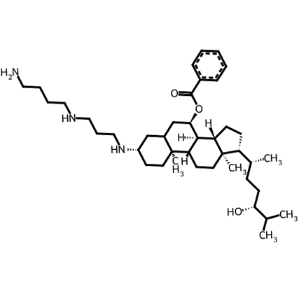 CC(C)[C@H](O)CC[C@@H](C)[C@H]1CC[C@H]2[C@@H]3[C@H](OC(=O)c4ccccc4)CC4C[C@@H](NCCCNCCCCN)CC[C@]4(C)[C@H]3CC[C@]12C